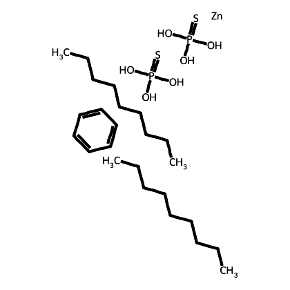 CCCCCCCCC.CCCCCCCCC.OP(O)(O)=S.OP(O)(O)=S.[Zn].c1ccccc1